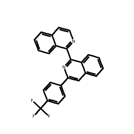 FC(F)(F)c1ccc(-c2cc3ccccc3c(-c3nccc4ccccc34)n2)cc1